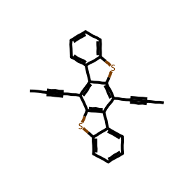 CC#Cc1c2sc3ccccc3c2c(C#CC)c2sc3ccccc3c12